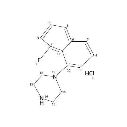 Cl.Fc1cccc2cccc(N3CCNCC3)c12